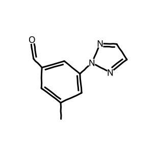 Cc1cc(C=O)cc(-n2nccn2)c1